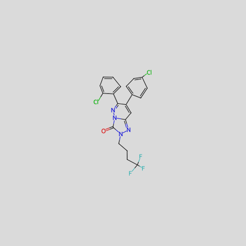 O=c1n(CCCC(F)(F)F)nc2cc(-c3ccc(Cl)cc3)c(-c3ccccc3Cl)nn12